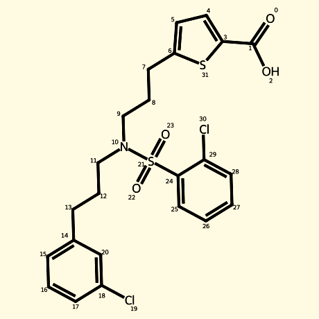 O=C(O)c1ccc(CCCN(CCCc2cccc(Cl)c2)S(=O)(=O)c2ccccc2Cl)s1